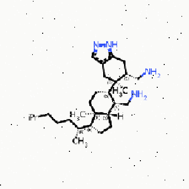 CC(C)CCC[C@@H](C)[C@H]1CC[C@H]2[C@H](CN)[C@@H]([C@@]3(C)Cc4cn[nH]c4C[C@@H]3CN)CC[C@]12C